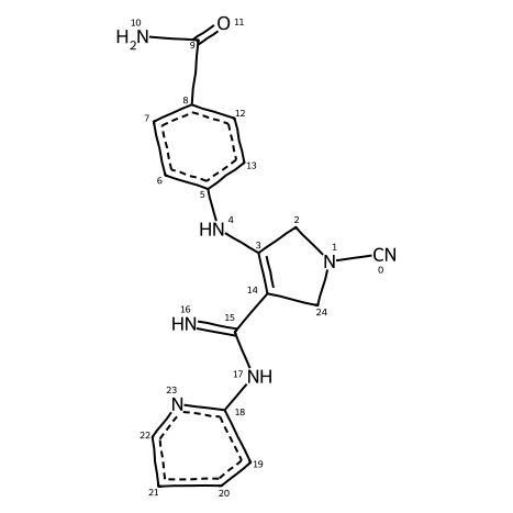 N#CN1CC(Nc2ccc(C(N)=O)cc2)=C(C(=N)Nc2ccccn2)C1